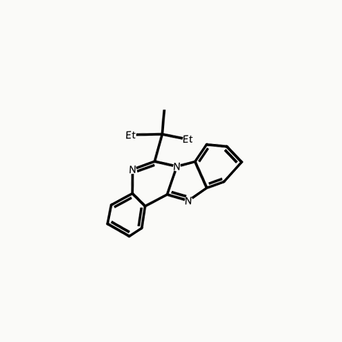 CCC(C)(CC)c1nc2ccccc2c2nc3ccccc3n12